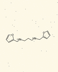 c1coc(CNCCCNCc2ccco2)c1